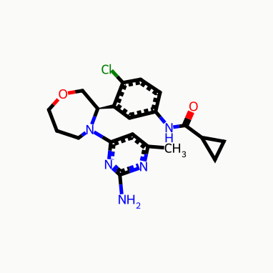 Cc1cc(N2CCCOC[C@H]2c2cc(NC(=O)C3CC3)ccc2Cl)nc(N)n1